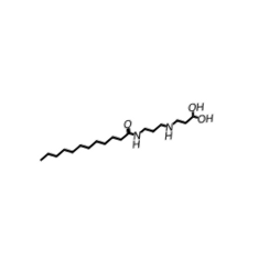 CCCCCCCCCCCC(=O)NCCCNCCC(O)O